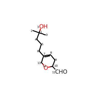 CC(C)(O)CCCC1=CCC(C=O)OC1